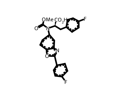 COC(=O)N(c1ccc2oc(-c3ccc(F)cc3)nc2c1)[C@H](Cc1ccc(F)cc1)C(=O)O